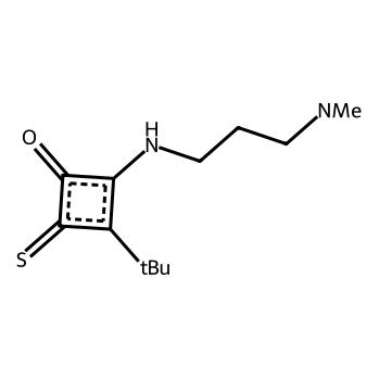 CNCCCNc1c(C(C)(C)C)c(=S)c1=O